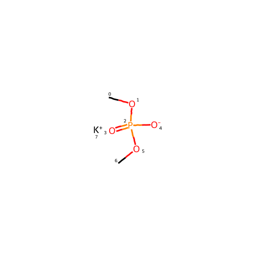 COP(=O)([O-])OC.[K+]